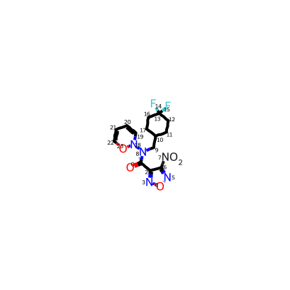 O=C(c1nonc1[N+](=O)[O-])N(CC1CCC(F)(F)CC1)N1C=CC=CO1